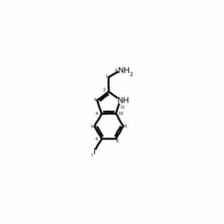 NCc1cc2cc(I)ccc2[nH]1